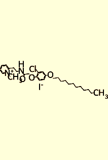 CCCCCCCCCCCCOc1ccc(OCC(=O)NCCc2cccc[n+]2C)c(Cl)c1.[I-]